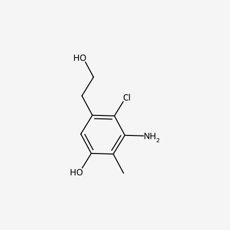 Cc1c(O)cc(CCO)c(Cl)c1N